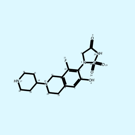 O=C1CN(c2c(O)cc3c(c2F)CN(C2CCNCC2)CC3)S(=O)(=O)N1